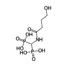 O=C(CCCO)NC(P(=O)(O)O)P(=O)(O)O